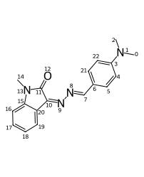 CN(C)c1ccc(C=NN=C2C(=O)N(C)c3ccccc32)cc1